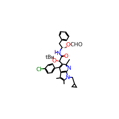 Cc1nc2c(c(C)c(C)n2CC2CC2)c(-c2ccc(Cl)cc2)c1[C@@H](OC(C)(C)C)C(=O)N(I)[C@@H](COC=O)Cc1ccccc1